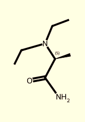 CCN(CC)[C@@H](C)C(N)=O